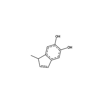 CC1C=Cc2cc(O)c(O)cc21